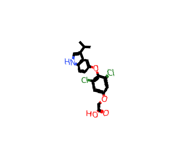 CC(C)c1c[nH]c2ccc(Oc3c(Cl)cc(OCC(=O)O)cc3Cl)cc12